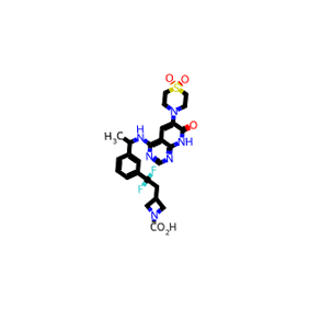 CC(Nc1ncnc2[nH]c(=O)c(N3CCS(=O)(=O)CC3)cc12)c1cccc(C(F)(F)CC2CN(C(=O)O)C2)c1